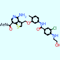 CNC(=O)c1cnc(N)c2c(COc3cc(NC(=O)c4ccc(NCCO)c(Cl)c4)ccc3C)csc12